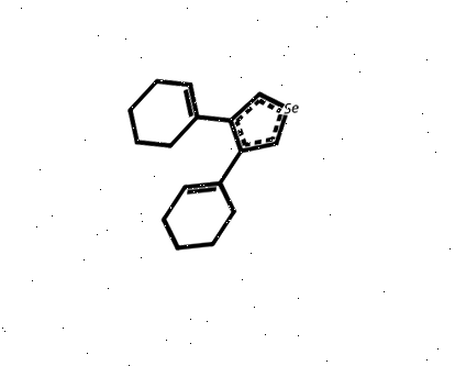 C1=C(c2c[se]cc2C2=CCCCC2)CCCC1